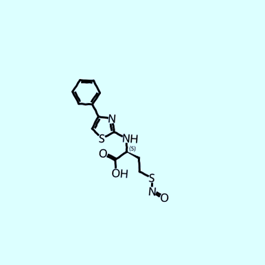 O=NSCC[C@H](Nc1nc(-c2ccccc2)cs1)C(=O)O